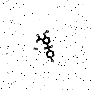 CCOc1ncc(S(=O)(=O)N2CCN(CC)CC2)cc1C(=O)Cl.Cl